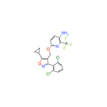 Nc1ccc(OCc2c(-c3c(Cl)cccc3Cl)noc2C2CC2)nc1C(F)(F)F